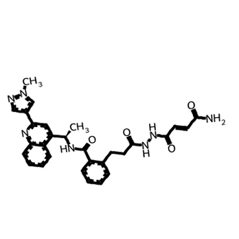 C[C@@H](NC(=O)c1ccccc1CCC(=O)NNC(=O)/C=C/C(N)=O)c1cc(-c2cnn(C)c2)nc2ccccc12